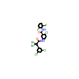 O=C(Nc1c(F)cccc1F)c1cc(NC(=O)C2C(c3cc(Cl)cc(Cl)c3)C2(Br)Br)ccc1Cl